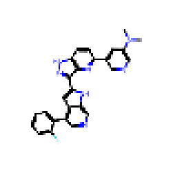 CN(C)c1cncc(-c2ccc3[nH]nc(-c4cc5c(-c6ccccc6F)cncc5[nH]4)c3n2)c1